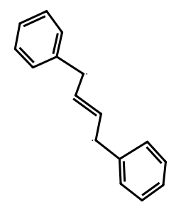 [CH](/C=C/[CH]c1ccccc1)c1ccccc1